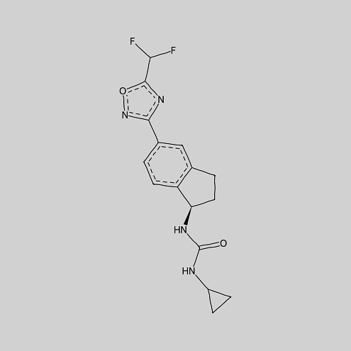 O=C(NC1CC1)N[C@@H]1CCc2cc(-c3noc(C(F)F)n3)ccc21